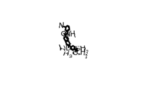 CC(C)(C)c1ccc(C2(O)CC3CN(C(=O)Nc4cccc(C#N)c4)CC3C2)cc1